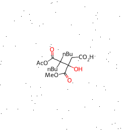 CCCCC(CCCC)(C(=O)OC(C)=O)C(O)(CC(=O)O)C(=O)OC